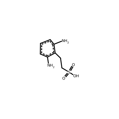 Nc1cccc(N)c1CCS(=O)(=O)O